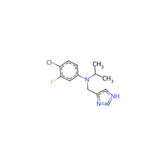 CC(C)N(Cc1c[nH]cn1)c1ccc(Cl)c(F)c1